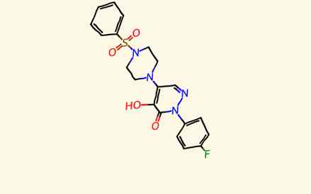 O=c1c(O)c(N2CCN(S(=O)(=O)c3ccccc3)CC2)cnn1-c1ccc(F)cc1